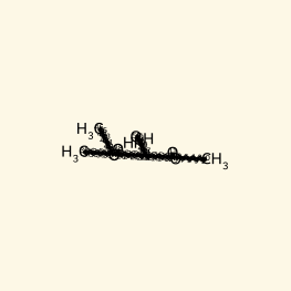 CCCCCCCCCOC(=O)CCCCCCCN(CCCCCCCC(=O)OC(CCCCCCCC)CCCCCCCC)CCCN[SH]=O